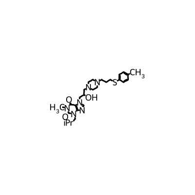 Cc1ccc(SCCCN2CCN(CC(O)Cn3cnc4c3c(=O)n(C)c(=O)n4CC(C)C)CC2)cc1